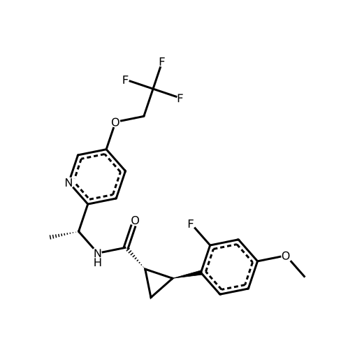 COc1ccc([C@H]2C[C@@H]2C(=O)N[C@H](C)c2ccc(OCC(F)(F)F)cn2)c(F)c1